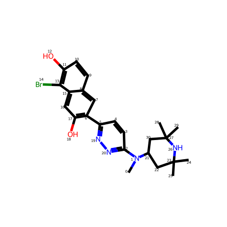 CN(c1ccc(-c2cc3ccc(O)c(Br)c3cc2O)nn1)C1CC(C)(C)NC(C)(C)C1